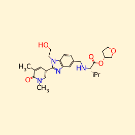 Cc1cc(-c2nc3cc(CN[C@H](C(=O)O[C@@H]4CCOC4)C(C)C)ccc3n2CCO)cn(C)c1=O